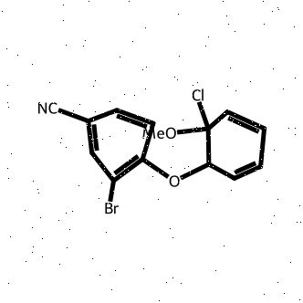 COC1(Cl)C=CC=CC1Oc1ccc(C#N)cc1Br